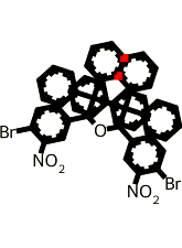 O=[N+]([O-])c1cc(C(OC(c2ccc(Br)c([N+](=O)[O-])c2)C(c2ccccc2)(c2ccccc2)c2ccccc2)C(c2ccccc2)(c2ccccc2)c2ccccc2)ccc1Br